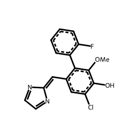 COc1c(O)c(Cl)cc(C=C2N=CC=N2)c1-c1ccccc1F